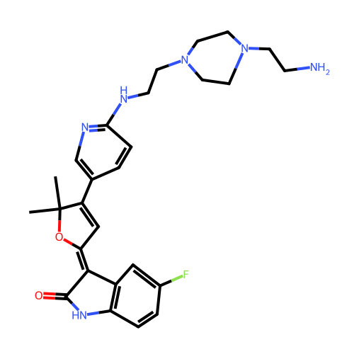 CC1(C)OC(=C2C(=O)Nc3ccc(F)cc32)C=C1c1ccc(NCCN2CCN(CCN)CC2)nc1